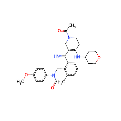 COc1ccc(N(C=O)Cc2c(C)cccc2C(=N)C2=C(NC3CCOCC3)CCN(C(C)=O)C2)cc1